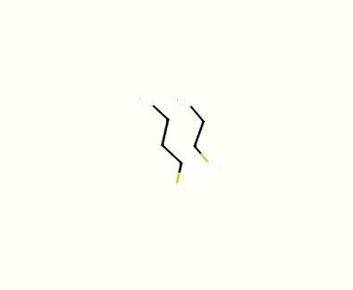 CCCCS.CCCS